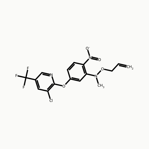 C=CCON(C)c1cc(Oc2ncc(C(F)(F)F)cc2Cl)ccc1[N+](=O)[O-]